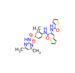 CC1=C(NC(=O)/C(=C\c2cccs2)NC(=O)c2cccs2)C=CC(S(=O)(=O)Nc2nc(C)cc(C)n2)C1